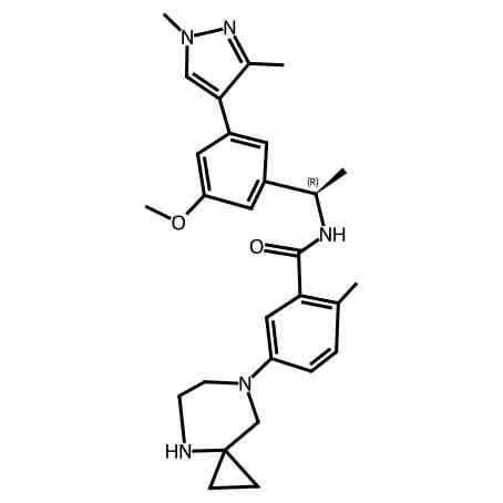 COc1cc(-c2cn(C)nc2C)cc([C@@H](C)NC(=O)c2cc(N3CCNC4(CC4)C3)ccc2C)c1